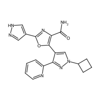 NC(=O)c1nc(-c2cn[nH]c2)oc1-c1cn(C2CCC2)nc1-c1ccccn1